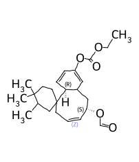 CCOC(=O)OC1=CC2C[C@H](OC=O)/C=C\CC3(CCC(C)(C)C(C)C3)[C@H]2C=C1